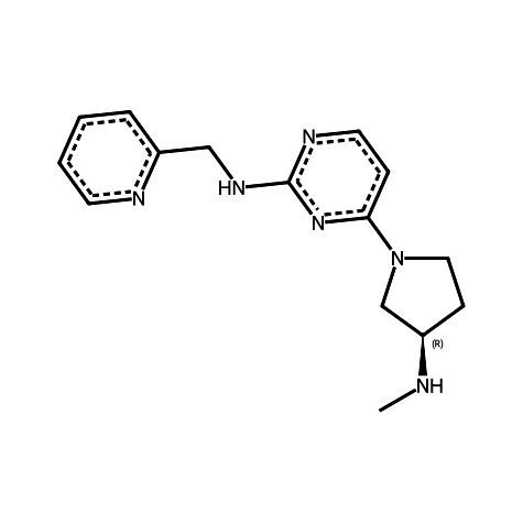 CN[C@@H]1CCN(c2ccnc(NCc3ccccn3)n2)C1